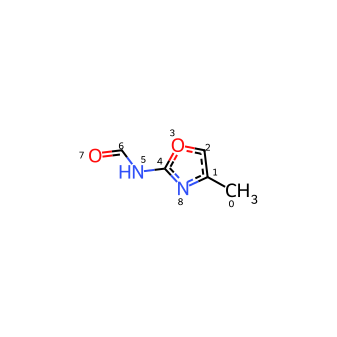 Cc1coc(NC=O)n1